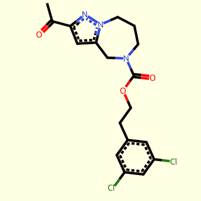 CC(=O)c1cc2n(n1)CCCN(C(=O)OCCc1cc(Cl)cc(Cl)c1)C2